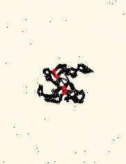 CC1(C)c2ccccc2-c2cc(N(c3ccc(C4CCCC4)cc3C3CCCC3)c3ccc4ccccc4c3-c3ccc4cccc(C5CCCC5)c4c3)ccc21